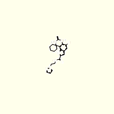 C=C1Nc2c(Cl)cc3cc(C(=O)NCCn4cccn4)oc3c2C2(CCCCC2)N1